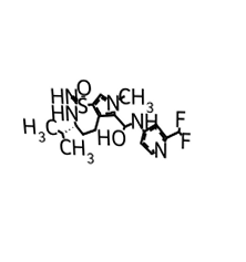 CC(C)[C@H]1CCc2c(cn(C)c2C(O)Nc2ccnc(C(F)F)c2)S(=N)(=O)N1